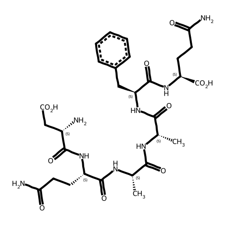 C[C@H](NC(=O)[C@H](C)NC(=O)[C@H](CCC(N)=O)NC(=O)[C@@H](N)CC(=O)O)C(=O)N[C@@H](Cc1ccccc1)C(=O)N[C@@H](CCC(N)=O)C(=O)O